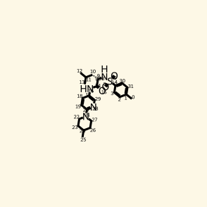 Cc1ccc(S(=O)(=O)N[C@@H](CC(C)C)C(=O)Nc2ccc(N3CCC(C)CC3)nc2)cc1